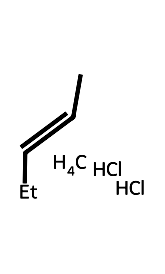 C.CC=CCC.Cl.Cl